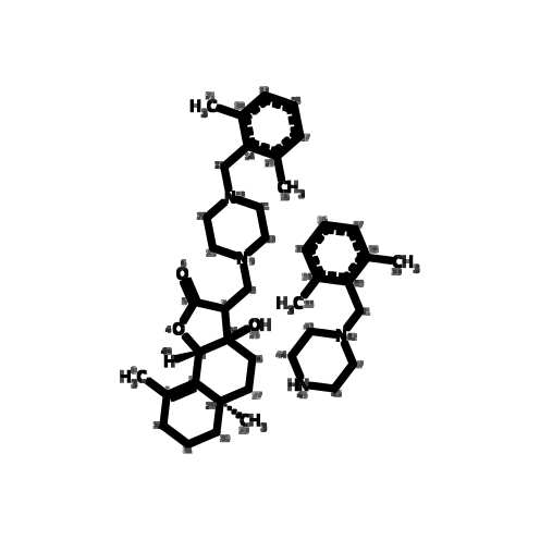 CC1=C2[C@@H]3OC(=O)C(CN4CCN(Cc5c(C)cccc5C)CC4)C3(O)CC[C@@]2(C)CCC1.Cc1cccc(C)c1CN1CCNCC1